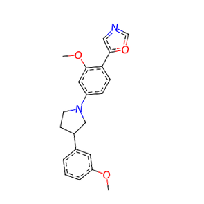 COc1cccc(C2CCN(c3ccc(-c4cnco4)c(OC)c3)C2)c1